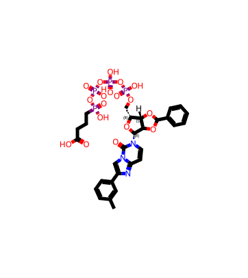 Cc1cccc(-c2cn3c(=O)n([C@@H]4O[C@H](COP(=O)(O)OP(=O)(O)OP(=O)(O)OP(=O)(O)CCCC(=O)O)[C@@H]5OC(c6ccccc6)OC54)ccc3n2)c1